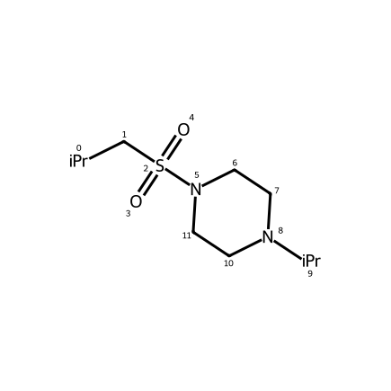 CC(C)CS(=O)(=O)N1CCN(C(C)C)CC1